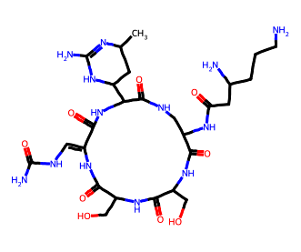 CC1CC(C2NC(=O)/C(=C/NC(N)=O)NC(=O)C(CO)NC(=O)C(CO)NC(=O)C(NC(=O)CC(N)CCCN)CNC2=O)NC(N)=N1